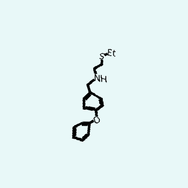 CCSCCNCc1ccc(Oc2ccccc2)cc1